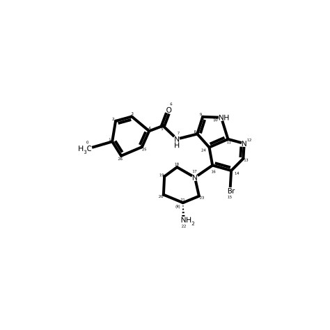 Cc1ccc(C(=O)Nc2c[nH]c3ncc(Br)c(N4CCC[C@@H](N)C4)c23)cc1